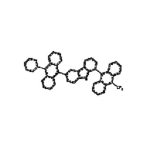 FC(F)(F)c1c2ccccc2c(-c2cccc3c2sc2ccc(-c4c5ccccc5c(-c5ccccc5)c5ccccc45)cc23)c2ccccc12